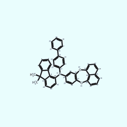 CC1(C)c2ccccc2-c2c(N(c3ccc(-c4ccccc4)cc3)c3ccc4c(c3)Oc3cccc5cccc(c35)O4)cccc21